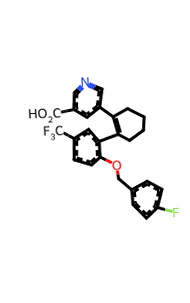 O=C(O)c1cncc(C2=C(c3cc(C(F)(F)F)ccc3OCc3ccc(F)cc3)CCCC2)c1